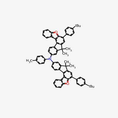 Cc1ccc(N(c2ccc3c(c2)C(C)(C)c2cc(-c4ccc(C(C)(C)C)cc4)c4oc5ccccc5c4c2-3)c2ccc3c(c2)C(C)(C)c2cc(-c4ccc(C(C)(C)C)cc4)c4oc5ccccc5c4c2-3)cc1